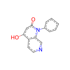 O=c1cc(O)c2ccncc2n1-c1ccccc1